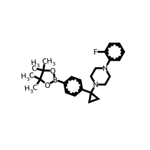 CC1(C)OB(c2ccc(C3(N4CCN(c5ccccc5F)CC4)CC3)cc2)OC1(C)C